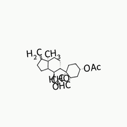 C=C1CCC2[C@H](C=O)[C@@H]([C@@]3(C)CC[C@H](OC(C)=O)C[C@@H]3C=O)CC[C@]12C